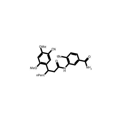 CCCCCC(CC(=O)Nc1cc(C(N)=O)ccc1C(C)(C)C)c1cc(C#N)c(OC)cc1OC